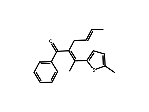 CC=CCC(C(=O)c1ccccc1)=C(C)c1ccc(C)s1